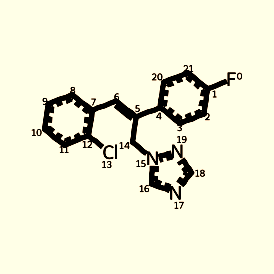 Fc1ccc(C(=Cc2ccccc2Cl)Cn2cncn2)cc1